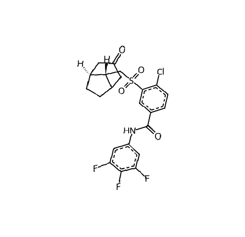 O=C1CC2CC[C@@H](C1)[C@@H]2CS(=O)(=O)c1cc(C(=O)Nc2cc(F)c(F)c(F)c2)ccc1Cl